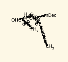 C=C=C=C=C=C=C=C=C=C=C=C=C=C=CC(=O)OCC(COP(=O)(O)OCCNCC(CC=O)CCC(=O)C(=O)CCSSP)OC(=O)CCCCCCCCCCCCCCC